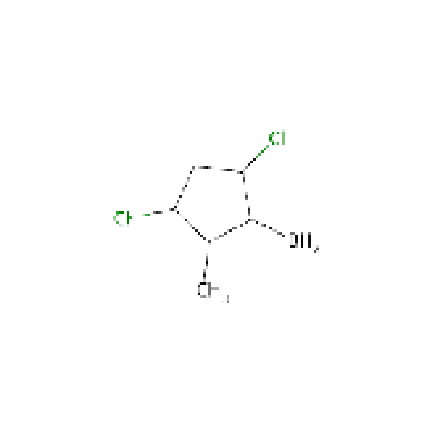 BC1C(Cl)CC(Cl)C1C